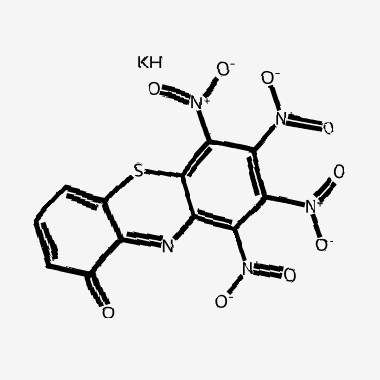 O=c1cccc2sc3c([N+](=O)[O-])c([N+](=O)[O-])c([N+](=O)[O-])c([N+](=O)[O-])c3nc1-2.[KH]